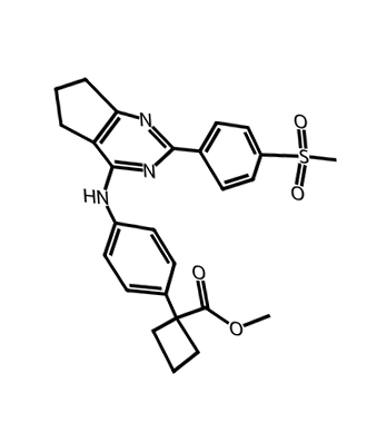 COC(=O)C1(c2ccc(Nc3nc(-c4ccc(S(C)(=O)=O)cc4)nc4c3CCC4)cc2)CCC1